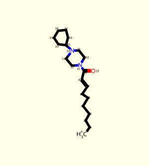 CCCCCCC/C=C/C(=O)N1CCN(C2CCCCC2)CC1